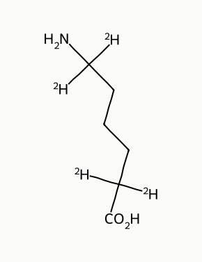 [2H]C([2H])(N)CCCC([2H])([2H])C(=O)O